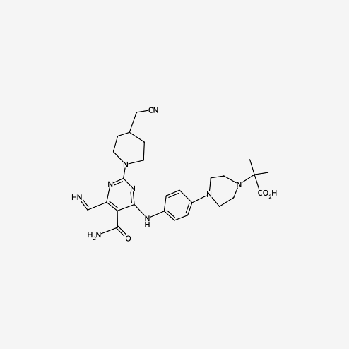 CC(C)(C(=O)O)N1CCN(c2ccc(Nc3nc(N4CCC(CC#N)CC4)nc(C=N)c3C(N)=O)cc2)CC1